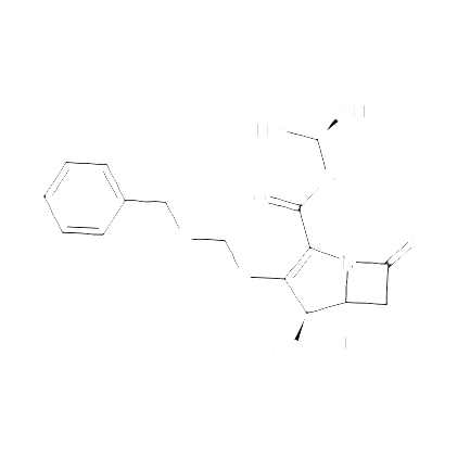 C[C@H](O)OC(=O)C1=C(SCSCc2ccccc2)[C@H](C)[C@@H]2CC(=O)N12